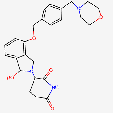 O=C1CCC(N2Cc3c(OCc4ccc(CN5CCOCC5)cc4)cccc3C2O)C(=O)N1